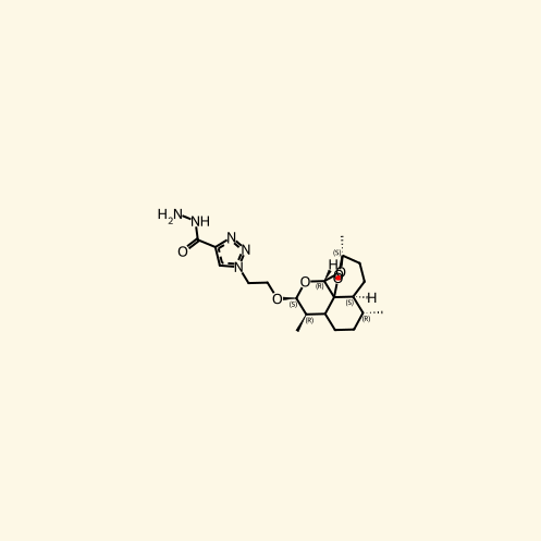 C[C@@H]1CCC2[C@@H](C)[C@@H](OCCn3cc(C(=O)NN)nn3)O[C@@H]3O[C@]4(C)CC[C@@H]1C23OO4